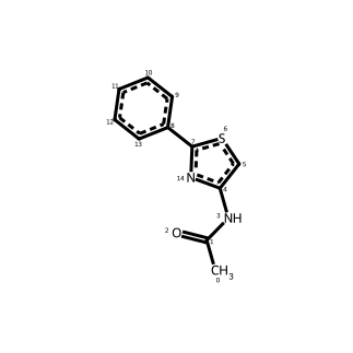 CC(=O)Nc1csc(-c2ccccc2)n1